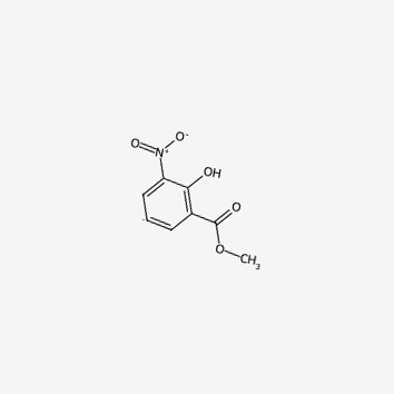 COC(=O)c1c[c]cc([N+](=O)[O-])c1O